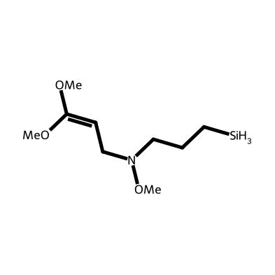 COC(=CCN(CCC[SiH3])OC)OC